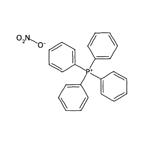 O=[N+]([O-])[O-].c1ccc([P+](c2ccccc2)(c2ccccc2)c2ccccc2)cc1